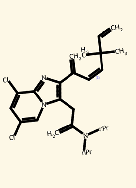 C=CC(C)(C)/C=C\C(=C)c1nc2c(Cl)cc(Cl)cn2c1CC(=C)N(CCC)CCC